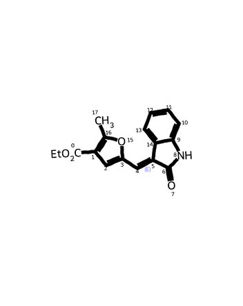 CCOC(=O)c1cc(/C=C2/C(=O)Nc3ccccc32)oc1C